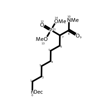 CCCCCCCCCCCCCCCCC(C(=O)NC)P(=O)(OC)OC